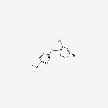 COc1ccc(Oc2ccc(Br)cc2Cl)cc1